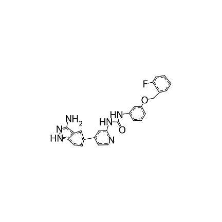 Nc1n[nH]c2ccc(-c3ccnc(NC(=O)Nc4cccc(OCc5ccccc5F)c4)c3)cc12